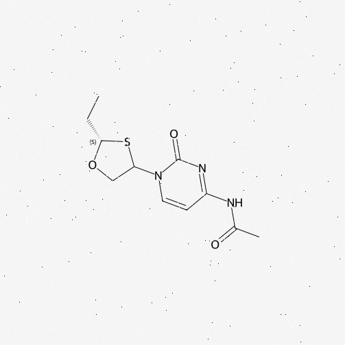 CC[C@H]1OCC(n2ccc(NC(C)=O)nc2=O)S1